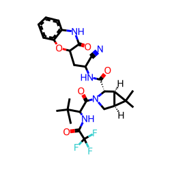 CC(C)(C)C(NC(=O)C(F)(F)F)C(=O)N1C[C@H]2[C@@H]([C@H]1C(=O)NC(C#N)CC1Oc3ccccc3NC1=O)C2(C)C